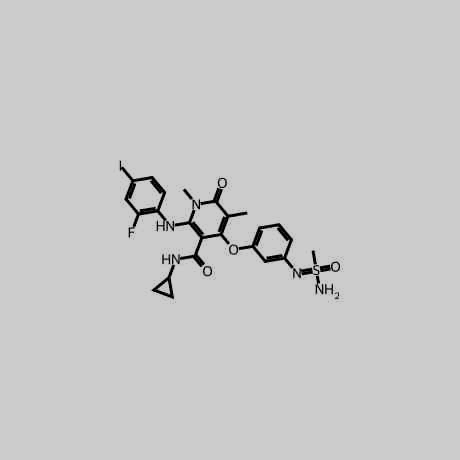 Cc1c(Oc2cccc(N=S(C)(N)=O)c2)c(C(=O)NC2CC2)c(Nc2ccc(I)cc2F)n(C)c1=O